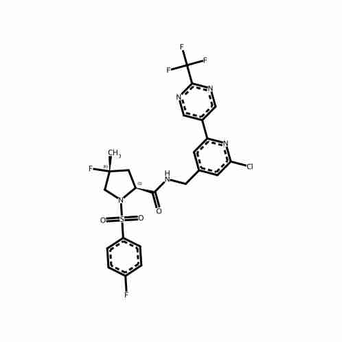 C[C@@]1(F)C[C@@H](C(=O)NCc2cc(Cl)nc(-c3cnc(C(F)(F)F)nc3)c2)N(S(=O)(=O)c2ccc(F)cc2)C1